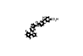 O=C(Nc1cnn2ccc(N3CCCC3c3cc(F)ccc3F)nc12)c1cccc(NC2CCN(C(=O)O)CC2)n1